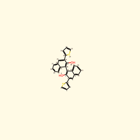 Oc1c(-c2cccs2)cc2ccccc2c1-c1c(O)c(-c2cccs2)cc2ccccc12